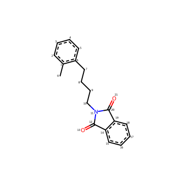 Cc1ccccc1CCCCN1C(=O)c2ccccc2C1=O